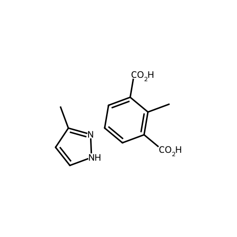 Cc1c(C(=O)O)cccc1C(=O)O.Cc1cc[nH]n1